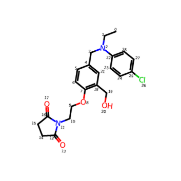 CCN(Cc1ccc(OCCN2C(=O)CCC2=O)c(CO)c1)c1ccc(Cl)cc1